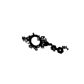 B[C@@H]1[C@@H](C)C(=O)[C@](C)(F)C(=O)O[C@H](CC)[C@@](C)(OC#C)[C@H](NCCCCn2cc(-c3cccc(N)c3)nn2)[C@@H](C(F)(F)F)NC[C@H](C)C[C@@]1(C)OC